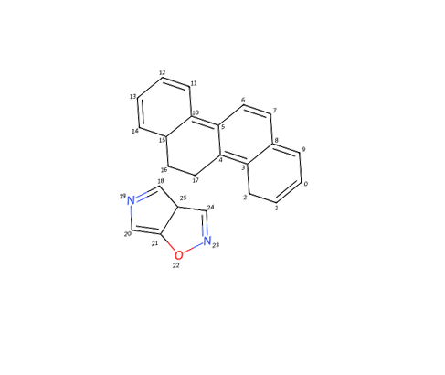 C1=CCc2c3c(ccc2=C1)=C1C=CC=CC1CC3.C1=NC=C2ON=CC12